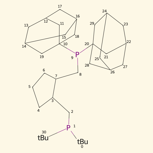 CC(C)(C)P(CC1CCCC1CP(C12CC3CC(CC(C3)C1)C2)C12CC3CC(CC(C3)C1)C2)C(C)(C)C